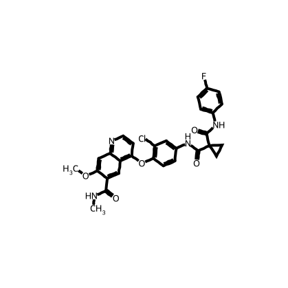 CNC(=O)c1cc2c(Oc3ccc(NC(=O)C4(C(=O)Nc5ccc(F)cc5)CC4)cc3Cl)ccnc2cc1OC